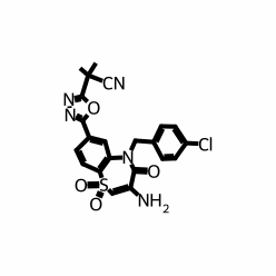 CC(C)(C#N)c1nnc(-c2ccc3c(c2)N(Cc2ccc(Cl)cc2)C(=O)C(N)=CS3(=O)=O)o1